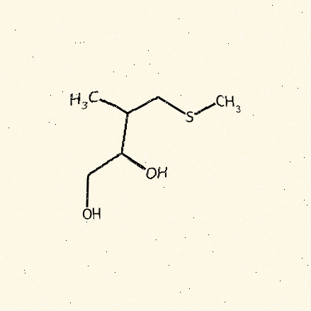 CSCC(C)C(O)CO